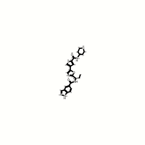 CC[C@@H](NC(=O)c1ccc2[nH]ncc2c1)c1ncc(-c2csc(C(=O)NC3CCOCC3)c2)o1